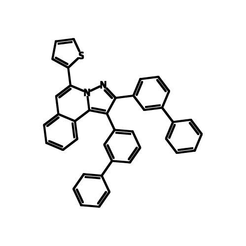 c1ccc(-c2cccc(-c3nn4c(-c5cccs5)cc5ccccc5c4c3-c3cccc(-c4ccccc4)c3)c2)cc1